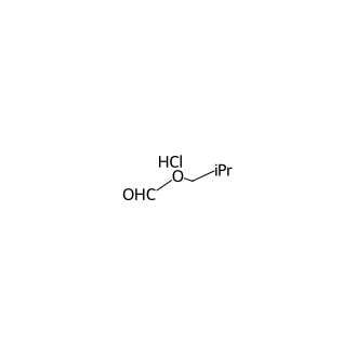 CC(C)COC=O.Cl